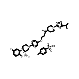 CC(C)c1noc(N2CCC([C@H](C)CCOc3cnc(N4CC[C@H](c5cc(F)ccc5F)[C@@H](N)C4)nc3)CC2)n1.Cc1ccc(S(=O)(=O)O)cc1